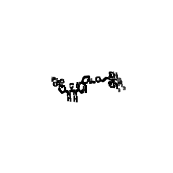 CC(C)S(=O)(=O)N1CCC(NC(=O)Nc2cnc3c(ccn3COCC[Si](C)(C)C)n2)C1